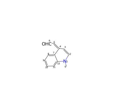 CN1C=C/C(=C/C=O)c2ccccc21